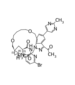 CC(=O)c1nn2c3c(cc(-c4cnc(C)nc4)cc13)COCCCCOC[C@@]13C[C@@H](C(=O)Nc4nc(Br)ccc4C)N(C(=O)C2)[C@@H]1C3